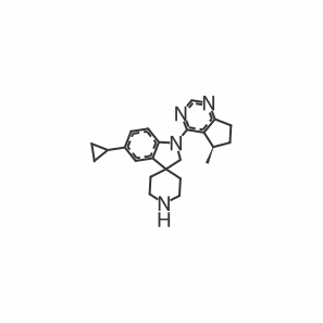 C[C@@H]1CCc2ncnc(N3CC4(CCNCC4)c4cc(C5CC5)ccc43)c21